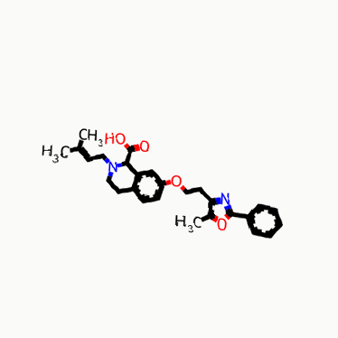 CC(C)=CCN1CCc2ccc(OCCc3nc(-c4ccccc4)oc3C)cc2C1C(=O)O